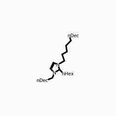 CCCCCCCCCCCCCCCN1C=CN(CCCCCCCCCCC)C1CCCCCC